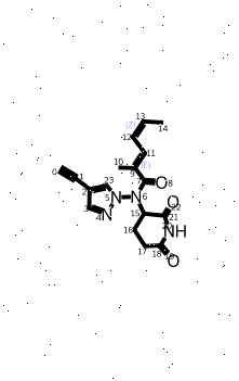 C#Cc1cnn(N(C(=O)/C(C)=C/C=C\C)C2CCC(=O)NC2=O)c1